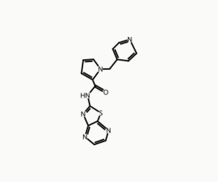 O=C(Nc1nc2nccnc2s1)c1cccn1Cc1ccncc1